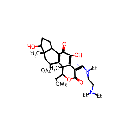 CCN(/C=C1\C(=O)OC(COC)C2(C)C1=C(O)C(=O)C1=C2C(OC(C)=O)CC2(C)C(O)CCC12)CCN(CC)CC